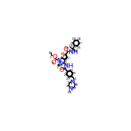 CCOC(=O)N1c2sc(C(=O)NC(C)(C)c3ccccc3)cc2C(NC(=O)c2ccc(CN3CCN(C)CC3)cc2)N1F